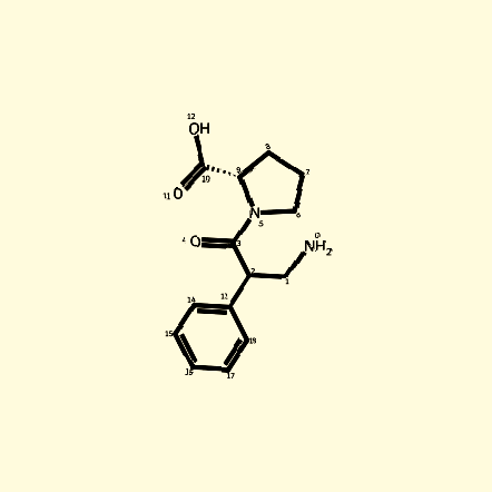 NCC(C(=O)N1CCC[C@H]1C(=O)O)c1ccccc1